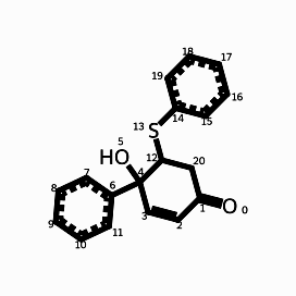 O=C1C=CC(O)(c2ccccc2)C(Sc2ccccc2)C1